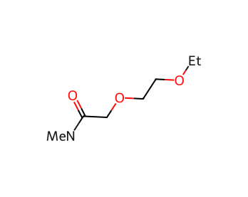 CCOCCOCC(=O)NC